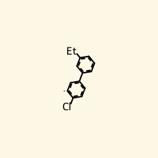 CCc1cccc(-c2c[c]c(Cl)cc2)c1